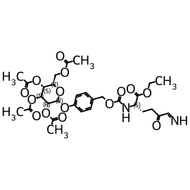 CCOC(=O)[C@H](CCC(=O)C=N)NC(=O)OCc1ccc(O[C@H]2O[C@H](COC(C)=O)[C@H](OC(C)=O)[C@H](OC(C)=O)[C@H]2OC(C)=O)cc1